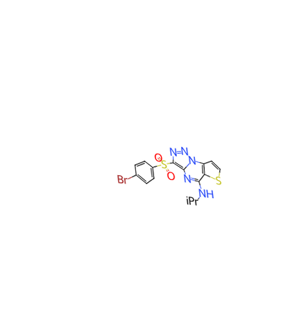 CC(C)Nc1nc2c(S(=O)(=O)c3ccc(Br)cc3)nnn2c2ccsc12